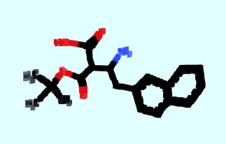 CC(C)(C)OC(=O)C(C(=O)O)C(N)Cc1ccc2ccccc2c1